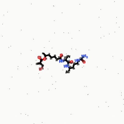 C=C(CBr)C(=O)OC(C)CCCCC(=O)N[C@H](C(=O)N[C@@H](CCCNC(N)=O)C(C)=O)C(C)C